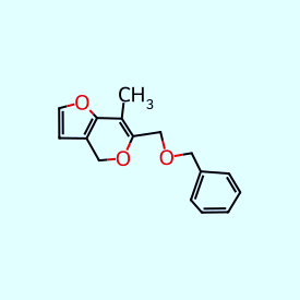 CC1=C(COCc2ccccc2)OCc2ccoc21